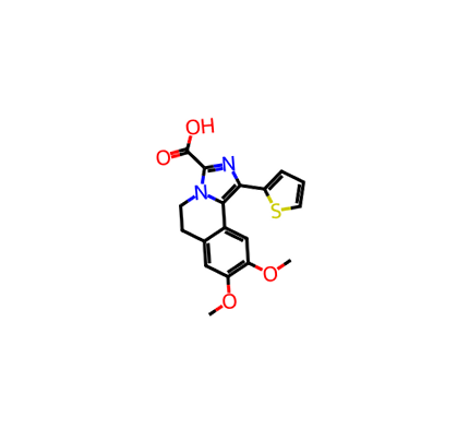 COc1cc2c(cc1OC)-c1c(-c3cccs3)nc(C(=O)O)n1CC2